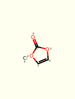 O=c1occo1.[C]